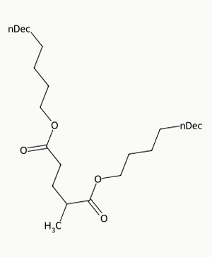 CCCCCCCCCCCCCCOC(=O)CCC(C)C(=O)OCCCCCCCCCCCCCC